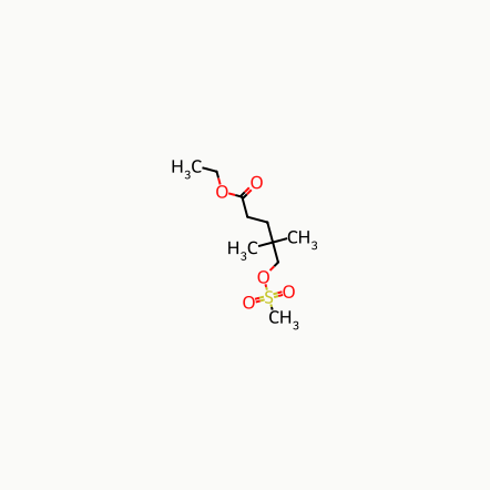 CCOC(=O)CCC(C)(C)COS(C)(=O)=O